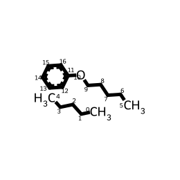 CCCCC.CCCCCOc1ccccc1